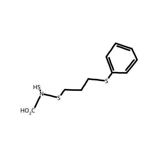 O=C(O)N(S)SCCCSc1ccccc1